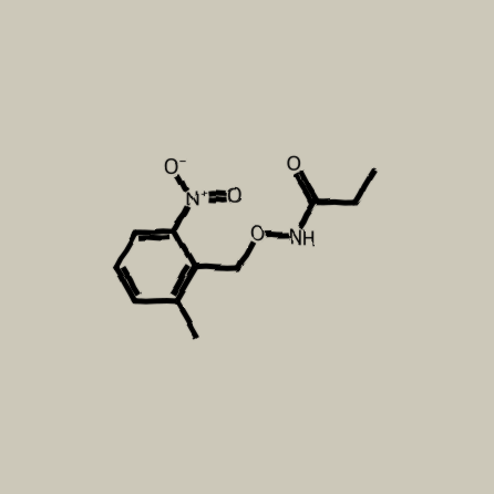 CCC(=O)NOCc1c(C)cccc1[N+](=O)[O-]